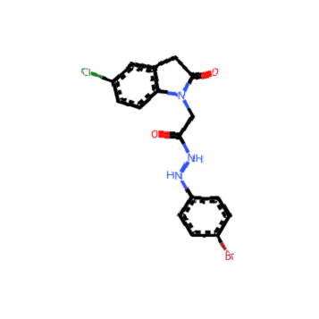 O=C(CN1C(=O)Cc2cc(Cl)ccc21)NNc1ccc(Br)cc1